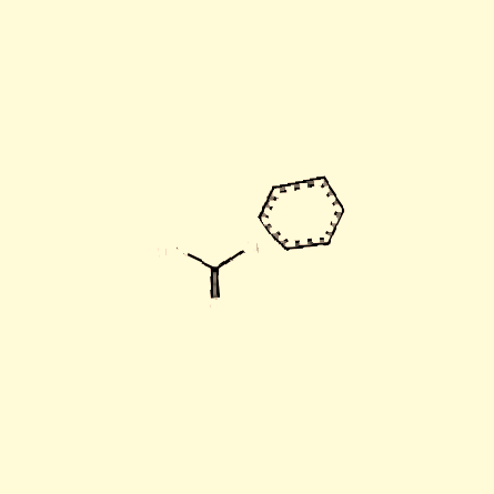 NC(=O)S.c1ccccc1